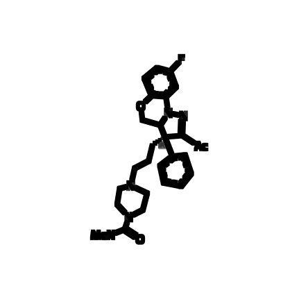 CNC(=O)N1CCN(CCC[C@@]2(c3ccccc3)C(C(C)=O)=NN3c4cc(F)ccc4OCC32)CC1